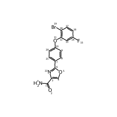 NC(=O)c1coc(-c2ccc(Oc3cc(F)ccc3Br)cc2)n1